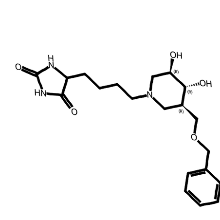 O=C1NC(=O)C(CCCCN2C[C@H](COCc3ccccc3)[C@@H](O)[C@H](O)C2)N1